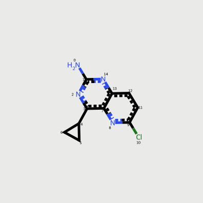 Nc1nc(C2CC2)c2nc(Cl)ccc2n1